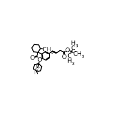 CC1CCCCC1(C(=O)OC12CCN(CC1)CC2)c1cccc(/C=C/CC(=O)OC(C)(C)C)c1